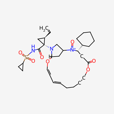 C=C[C@@H]1C[C@@]1(C(=O)NS(=O)(=O)C1CC1)N1CC2C[C@H]1O/C=C\C=C\CCCCOC(=O)C[C@@H](C1CCCCC1)[N+]2=O